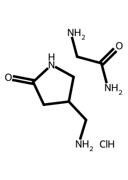 Cl.NCC(N)=O.NCC1CNC(=O)C1